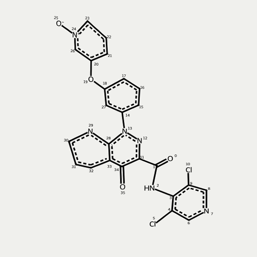 O=C(Nc1c(Cl)cncc1Cl)c1nn(-c2cccc(Oc3ccc[n+]([O-])c3)c2)c2ncccc2c1=O